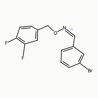 Fc1ccc(CO/N=[C]\c2cccc(Br)c2)cc1F